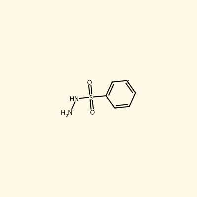 NNS(=O)(=O)c1c[c]ccc1